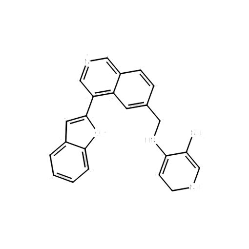 NC1=CNCC=C1NCc1ccc2cncc(-c3cc4ccccc4o3)c2c1